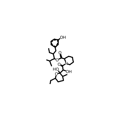 CCC1CCC(C)C(O)(C(O)C(=O)N2CCCCC2C(=O)OC(C(C)C)C(CC)Cc2cccc(O)c2)O1